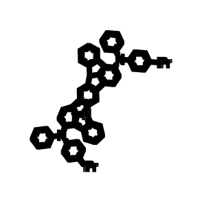 CC(C)c1ccc(N(c2ccccc2)c2ccc3c4c2-c2ccccc2C4c2cc4c5ccc(N(c6ccccc6)c6ccc(C(C)C)cc6)c6c7ccccc7n(c4cc2-3)c56)cc1